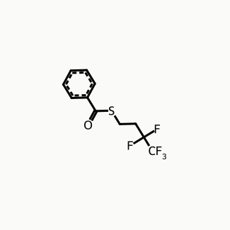 O=C(SCCC(F)(F)C(F)(F)F)c1ccccc1